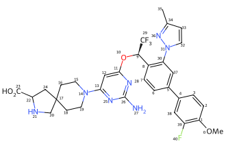 COc1ccc(-c2ccc([C@@H](Oc3cc(N4CCC5(CC4)CNC(C(=O)O)C5)nc(N)n3)C(F)(F)F)c(-n3ccc(C)n3)c2)cc1F